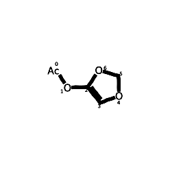 CC(=O)OC1=COCO1